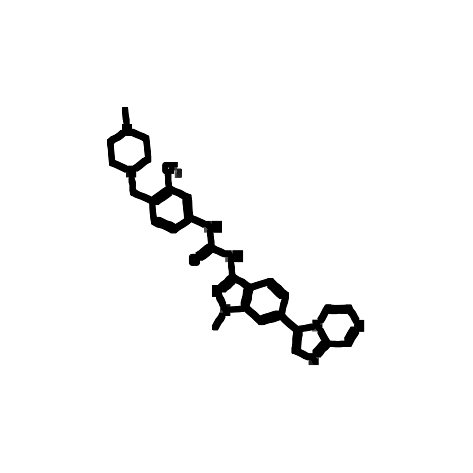 CN1CCN(Cc2ccc(NC(=O)Nc3nn(C)c4cc(-c5cnc6cnccn56)ccc34)cc2C(F)(F)F)CC1